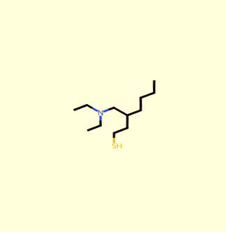 CCCCC(CCS)CN(CC)CC